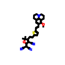 COc1c(C=Cc2ccc(C=CC3=C(C#N)C(=C(C#N)C#N)OC3(C)C)s2)cc2c3c1CCCN3CCC2